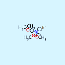 CCOC(=O)c1c(CC)c2cc(Br)ccc2n1-c1ccc(OC(C)C)cc1